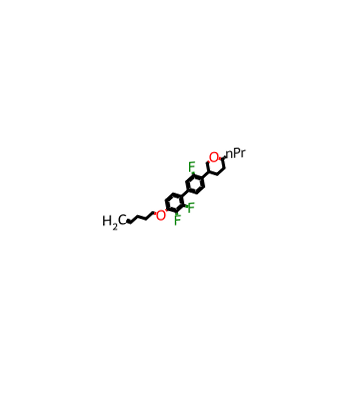 C=CCCCOc1ccc(-c2ccc(C3CCC(CCC)OC3)c(F)c2)c(F)c1F